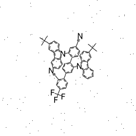 CC(C)(C)c1ccc2c(c1)c1ccccc1n2-c1cc(C#N)ccc1-c1ccc(-c2ccc(C(F)(F)F)cc2C#N)cc1-n1c2ccccc2c2cc(C(C)(C)C)ccc21